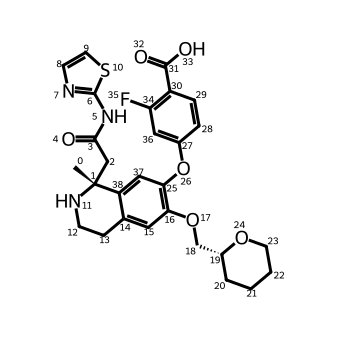 C[C@]1(CC(=O)Nc2nccs2)NCCc2cc(OC[C@H]3CCCCO3)c(Oc3ccc(C(=O)O)c(F)c3)cc21